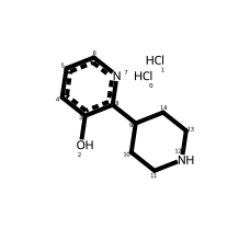 Cl.Cl.Oc1cccnc1C1CCNCC1